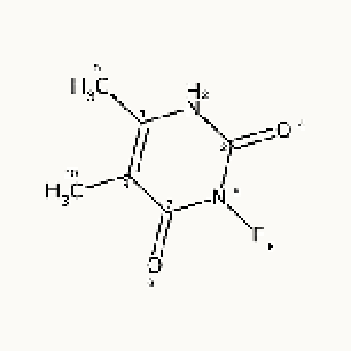 Cc1[nH]c(=O)n(F)c(=O)c1C